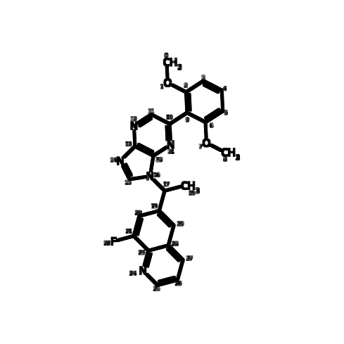 COc1cccc(OC)c1-c1cnc2ncn(C(C)c3cc(F)c4ncccc4c3)c2n1